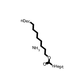 CCCCCCCCCCCCCCCCCCOC(=O)CCCCCCC.N